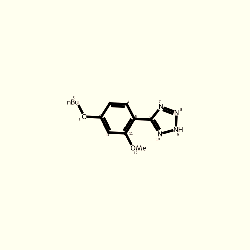 CCCCOc1ccc(-c2nn[nH]n2)c(OC)c1